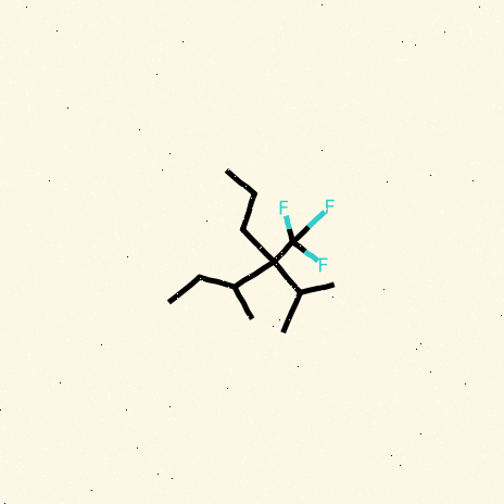 CCCC(C(C)C)(C(C)CC)C(F)(F)F